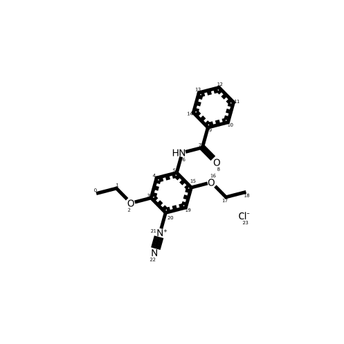 CCOc1cc(NC(=O)c2ccccc2)c(OCC)cc1[N+]#N.[Cl-]